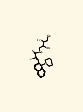 N#C/C(=C\c1ccc2ccccc2c1N1CCCCC1)C(=O)NCC(O)C(O)CO